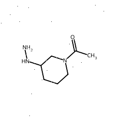 CC(=O)N1CCCC(NN)C1